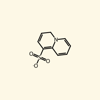 [O]S(=O)(=O)C1=C2C=CC=CN2CC=C1